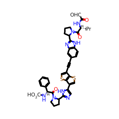 CC(C)[C@@H](NC(=O)C=O)C(=O)N1CCCC1c1nc2cc(C#Cc3csc4c(-c5cnc(C6CCCN6C(=O)[C@H](NC(=O)O)c6ccccc6)[nH]5)csc34)ccc2[nH]1